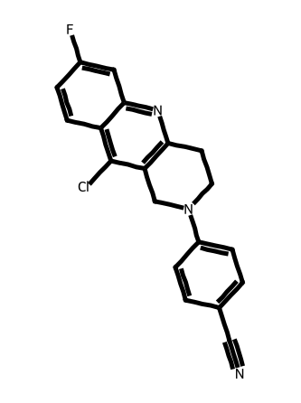 N#Cc1ccc(N2CCc3nc4cc(F)ccc4c(Cl)c3C2)cc1